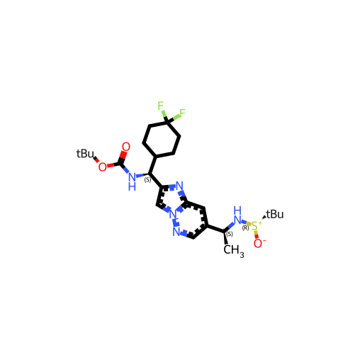 C[C@H](N[S@@+]([O-])C(C)(C)C)c1cnn2cc([C@@H](NC(=O)OC(C)(C)C)C3CCC(F)(F)CC3)nc2c1